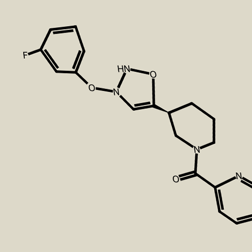 O=C(c1ccccn1)N1CCC[C@H](C2=CN(Oc3cccc(F)c3)NO2)C1